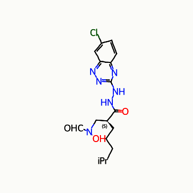 CC(C)CCC[C@@H](CN(O)C=O)C(=O)NNc1nnc2cc(Cl)ccc2n1